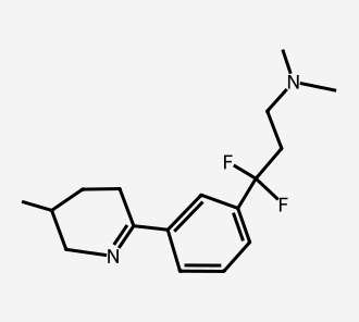 CC1CCC(c2cccc(C(F)(F)CCN(C)C)c2)=NC1